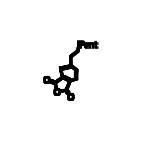 CCCC(C)CCc1ccc2c(c1)C(=O)OC2=O